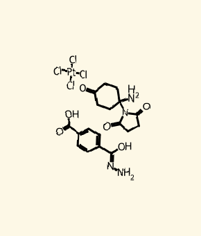 NC1(N2C(=O)CCC2=O)CCC(=O)CC1.NN=C(O)c1ccc(C(=O)O)cc1.[Cl][Pt]([Cl])([Cl])[Cl]